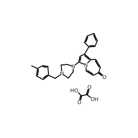 Cc1ccc(CN2CCN(c3cc(-c4ccccc4)c4ccc(=O)ccn34)CC2)cc1.O=C(O)C(=O)O